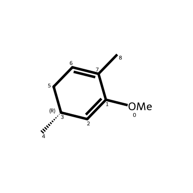 COC1=C[C@H](C)CC=C1C